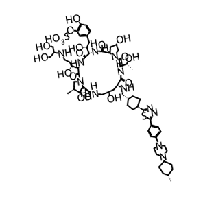 C[C@@H](O)[C@@H]1NC(=O)[C@@H](NC[C@H]2CC[C@H](c3nnc(-c4ccc(N5CCN([C@H]6CC[C@@H](C)CC6)CC5)cc4)s3)CC2)C[C@@H](O)CNC(=O)[C@@H]2[C@@H](O)[C@@H](C)CN2C(=O)[C@H]([C@H](O)CCNC(CO)CO)NC(=O)[C@H]([C@H](O)Cc2ccc(O)c(OS(=O)(=O)O)c2)NC(=O)[C@@H]2C[C@@H](O)CN2C1=O